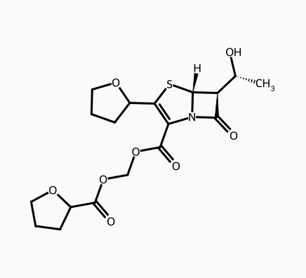 C[C@@H](O)[C@H]1C(=O)N2C(C(=O)OCOC(=O)C3CCCO3)=C(C3CCCO3)S[C@H]12